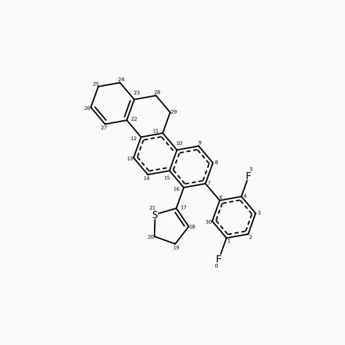 Fc1ccc(F)c(-c2ccc3c4c(ccc3c2C2=CCCS2)C2=C(CCC=C2)CC4)c1